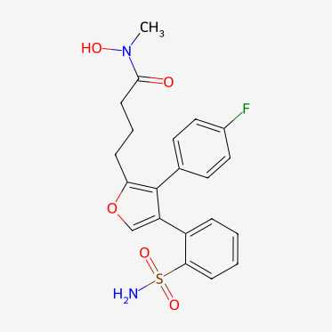 CN(O)C(=O)CCCc1occ(-c2ccccc2S(N)(=O)=O)c1-c1ccc(F)cc1